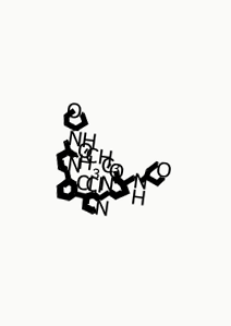 COc1nc(-c2cccc(-c3ccnc(-c4ccc(CNC5CCOCC5)c(OC)n4)c3Cl)c2Cl)ccc1CNC1CCOCC1